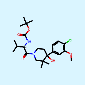 COc1cc(C2(O)CCN(C(=O)[C@H](NC(=O)OC(C)(C)C)C(C)C)CC2(C)C)ccc1Cl